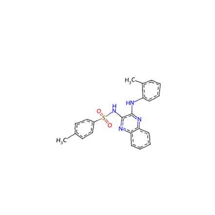 Cc1ccc(S(=O)(=O)Nc2nc3ccccc3nc2Nc2ccccc2C)cc1